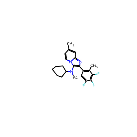 CC(=O)N(c1c(-c2cc(F)c(F)c(F)c2C)nc2cc(C)ccn12)C1CCCCC1